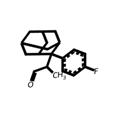 CC(C=O)C1(c2ccc(F)cc2)C2CC3CC(C2)CC1C3